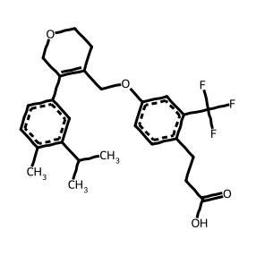 Cc1ccc(C2=C(COc3ccc(CCC(=O)O)c(C(F)(F)F)c3)CCOC2)cc1C(C)C